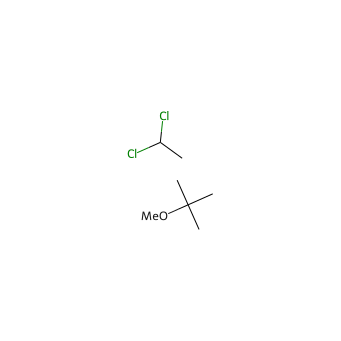 CC(Cl)Cl.COC(C)(C)C